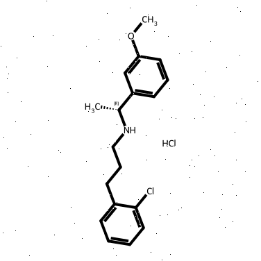 COc1cccc([C@@H](C)NCCCc2ccccc2Cl)c1.Cl